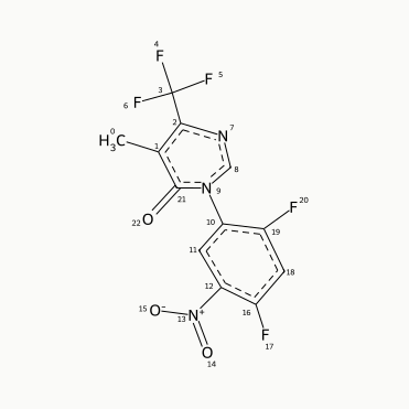 Cc1c(C(F)(F)F)ncn(-c2cc([N+](=O)[O-])c(F)cc2F)c1=O